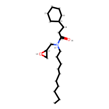 CCCCCCCCCCN(CC1CO1)C(=O)CCC1CCCCC1